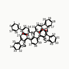 c1ccc(-c2ccc(N(c3ccc4c(c3)oc3ccccc34)c3c(-c4cccc5c4sc4ccccc45)cccc3-c3cccc4c3sc3ccccc34)cc2)cc1